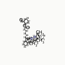 CN1C2=C(C=CCC2)C(C)(C)/C1=C\C=C\C1=[N+](CCCCCC(=O)Oc2ccccc2C=O)c2ccccc2C1(C)C